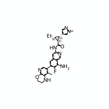 CC[C@H]1[C@H](C(=O)Nc2cc3cc(-c4cnc5c(c4C)NCCO5)c(F)c(N)c3cn2)[C@H]1c1cnn(C)c1